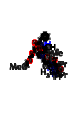 COCCOCCOCCOC(=O)[C@H](Cc1ccccc1)NC(=O)[C@H](C)[C@@H](OC)[C@@H]1CCCN1C(=O)C[C@@H](OC)[C@H](C(C)C)N(C)C(=O)[C@@H](NC(=O)[C@H](C(C)C)N(C)C(C)C)C(C)C